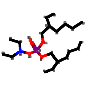 CCCCC(CC)COP(=O)(OCC(CC)CCCC)ON(CC)CC